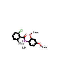 CCCCCCOc1ccc(PC(=O)c2c(Cl)cccc2OC)c(OCCCCCC)c1.[LiH]